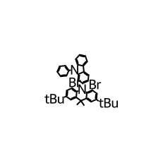 CC(C)(C)c1cc(Br)c2c(c1)C(C)(C)c1cc(C(C)(C)C)cc(Br)c1N2c1ccc2c3ccccc3n(-c3ccccc3)c2c1